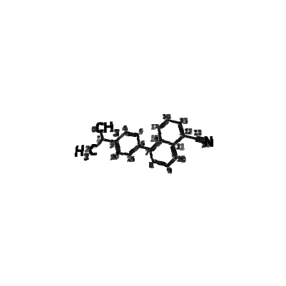 CC(C)c1ccc(-c2cccc3c(C#N)cccc23)cc1